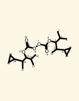 CC(C)C(OC(=O)OOC(=O)OC(C(C)C)C(C)C1CC1)C(C)C1CC1